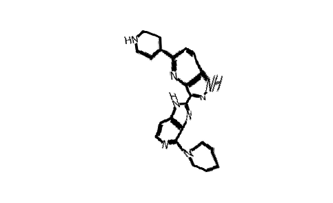 c1cc2[nH]c(-c3n[nH]c4ccc(C5CCNCC5)nc34)nc2c(N2CCCCC2)n1